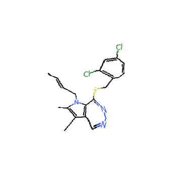 CC=CCn1c(C)c(C)c2cnnc(SCc3ccc(Cl)cc3Cl)c21